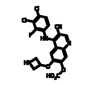 N#Cc1cnc2cc(OC(=O)O)c(OC3CNC3)cc2c1Nc1ccc(Cl)c(Cl)c1F